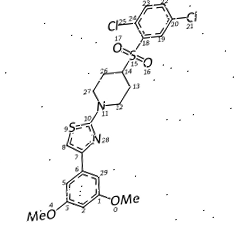 COc1cc(OC)cc(-c2csc(N3CCC(S(=O)(=O)c4cc(Cl)ccc4Cl)CC3)n2)c1